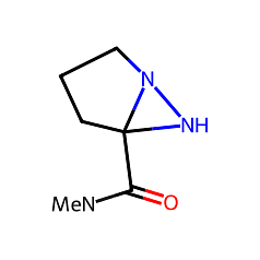 CNC(=O)C12CCCN1N2